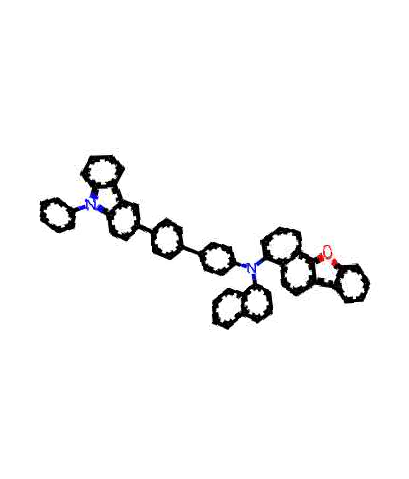 c1ccc(-n2c3ccccc3c3cc(-c4ccc(-c5ccc(N(c6cccc7ccccc67)c6cccc7c6ccc6c8ccccc8oc76)cc5)cc4)ccc32)cc1